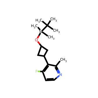 Cc1nccc(F)c1C1CC(O[Si](C)(C)C(C)(C)C)C1